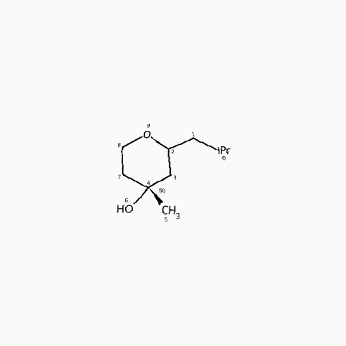 CC(C)CC1C[C@](C)(O)CCO1